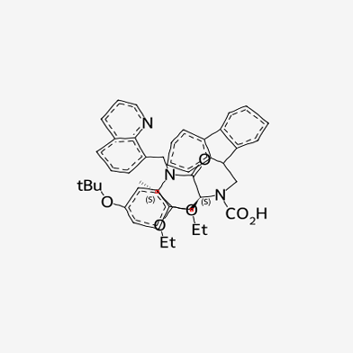 CCOC(OCC)[C@H](C)N(Cc1cccc2cccnc12)C(=O)[C@H](Cc1ccc(OC(C)(C)C)cc1)N(CC1c2ccccc2-c2ccccc21)C(=O)O